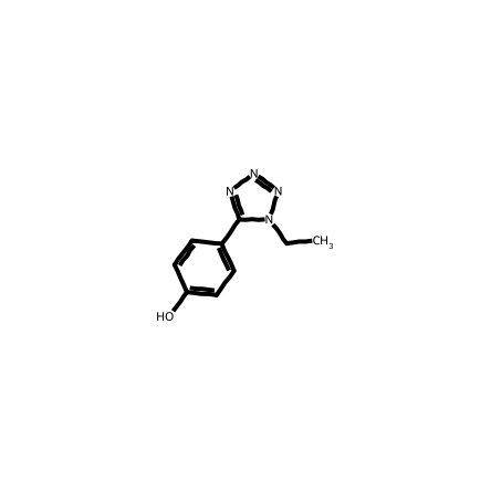 CCn1nnnc1-c1ccc(O)cc1